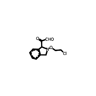 O=CC(=O)C1c2ccccc2CN1OCCCl